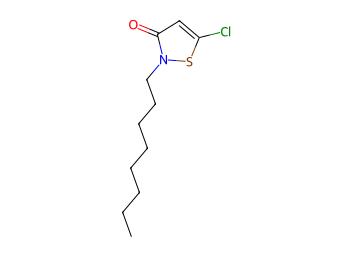 CCCCCCCCn1sc(Cl)cc1=O